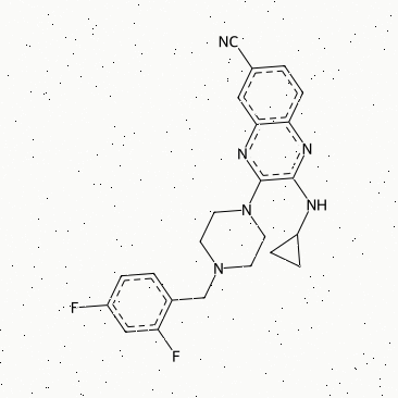 N#Cc1ccc2nc(NC3CC3)c(N3CCN(Cc4ccc(F)cc4F)CC3)nc2c1